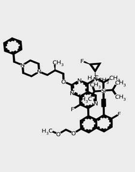 COCOc1cc(-c2ncc3c(N(C)[C@H]4C[C@@H]4F)nc(OC[C@H](C)CN4CCN(Cc5ccccc5)CC4)nc3c2F)c2c(C#C[Si](C(C)C)(C(C)C)C(C)C)c(F)ccc2c1